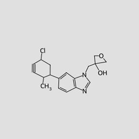 CC1C#CC(Cl)CC1c1ccc2ncn(CC3(O)COC3)c2c1